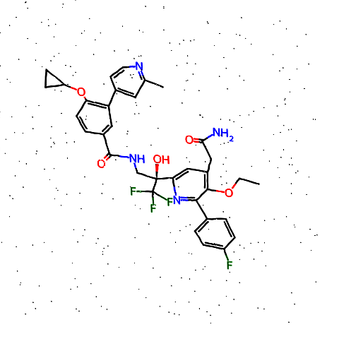 CCOc1c(CC(N)=O)cc([C@@](O)(CNC(=O)c2ccc(OC3CC3)c(-c3ccnc(C)c3)c2)C(F)(F)F)nc1-c1ccc(F)cc1